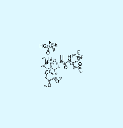 COc1ccc([C@@]23CC[C@@H](NC(=O)Nc4cc(C)oc4C(F)(F)F)C[C@@H]2N(C)CC3)cc1OC.O=C(O)C(F)(F)F